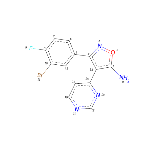 Nc1onc(-c2ccc(F)c(Br)c2)c1-c1ccncn1